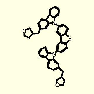 c1ccc2c(c1)c1ccc(CC3CCOC3)cc1n2-c1ccc2sc3ccc(-n4c5ccccc5c5ccc(CC6CCOC6)cc54)cc3c2c1